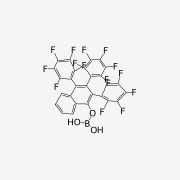 OB(O)Oc1c(-c2c(F)c(F)c(F)c(F)c2F)c(-c2c(F)c(F)c(F)c(F)c2F)c(-c2c(F)c(F)c(F)c(F)c2F)c2ccccc12